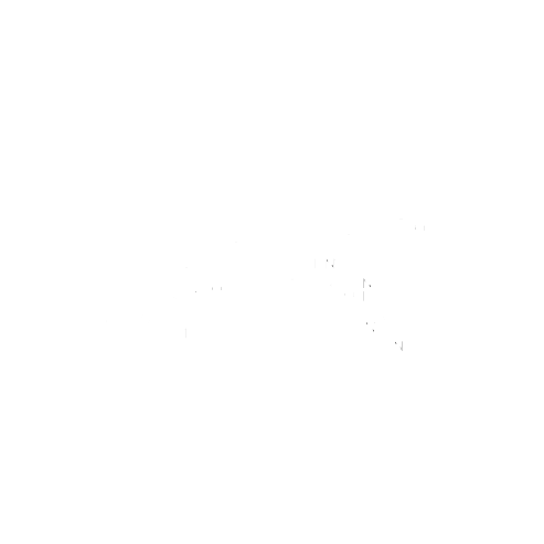 CCn1cncc1CNc1cc(C(=O)OC)ccc1NC(=O)Cc1ccc(-c2cccc3c2OC(C)(c2ccc(Cl)cc2F)O3)cc1